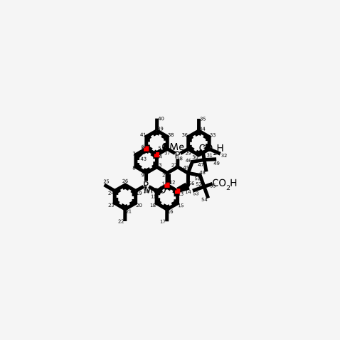 COC1=C(c2c(OC)cccc2P(c2cc(C)cc(C)c2)c2cc(C)cc(C)c2)C(P(c2cc(C)cc(C)c2)c2cc(C)cc(C)c2)C(CC(C)(C)C(=O)O)(CC(C)(C)C(=O)O)C=C1